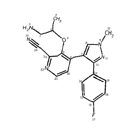 CC(CN)Oc1c(-c2cn(C)nc2-c2ccc(F)cc2)ccnc1C#N